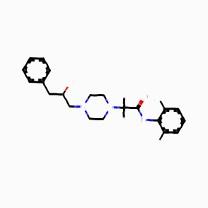 Cc1cccc(C)c1NC(=O)C(C)(C)N1CCN(CC(O)Cc2ccccc2)CC1